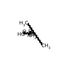 CCCCCCCCCCCC(CCCCCCCC)OC(=O)C(N)CCC(=O)O